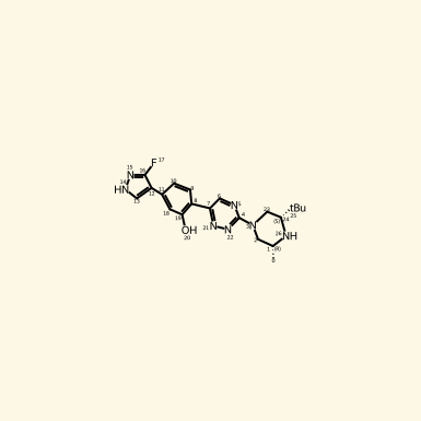 C[C@@H]1CN(c2ncc(-c3ccc(-c4c[nH]nc4F)cc3O)nn2)C[C@H](C(C)(C)C)N1